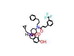 O=C(/C=C/c1cccc(C(F)(F)F)c1)N(CCCc1ccccc1)C1CC[C@@]2(O)[C@H]3Cc4ccc(O)c5c4[C@@]2(CCN3CC2CC2)C1O5